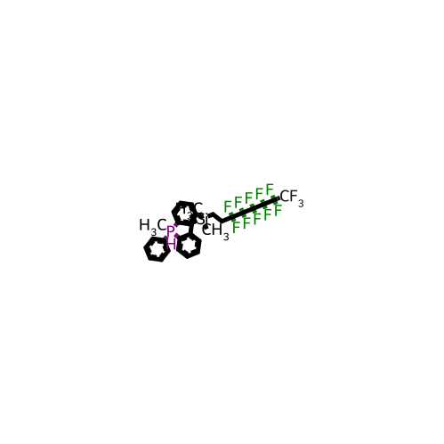 C[Si](C)(CCC(F)(F)C(F)(F)C(F)(F)C(F)(F)C(F)(F)C(F)(F)F)Cc1ccccc1[PH](C)(c1ccccc1)c1ccccc1